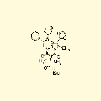 Cc1c(-c2ncco2)sc2c1c(=O)n(C(C)(C)C(=O)OC(C)(C)C)c(=O)n2C[C@H](O[C@H]1CCOC1)c1ccccc1